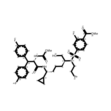 COC(=O)N[C@H](C(=O)N[C@H](CCC[C@@H](CO)N(CCC(C)C)S(=O)(=O)c1ccc(C(=O)OC)c(F)c1)C1CC1)C(c1ccc(F)cc1)c1ccc(F)cc1